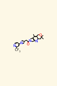 Cc1c2c(nc3c1CN(C(=O)CC1CN(c4ccnc(C(F)(F)F)c4)C1)C3)CC(C)(C)OC2